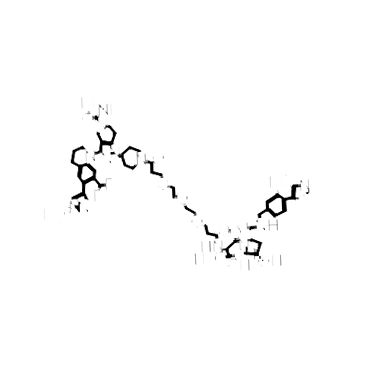 CNC(=O)N1CCc2c(c(N3CCCc4cc(-c5cnn(C)c5)c(C(F)F)cc43)nn2C2CCN(C(=O)CCOCCOCCOCCC(=O)N[C@H](C(=O)N3C[C@H](O)C[C@H]3C(=O)NCc3ccc(-c4scnc4C)cc3)C(C)(C)C)CC2)C1